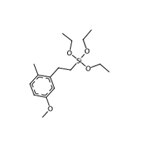 CCO[Si](CCc1cc(OC)ccc1C)(OCC)OCC